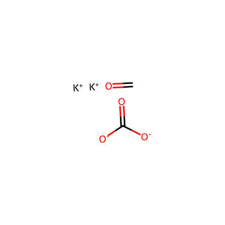 C=O.O=C([O-])[O-].[K+].[K+]